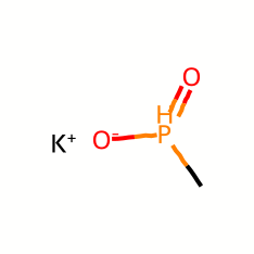 C[PH](=O)[O-].[K+]